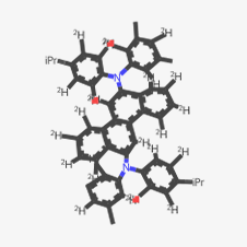 [2H]c1cc([2H])c(N(c2c([2H])c([2H])c(C(C)C)c([2H])c2[2H])c2c([2H])c3c4c([2H])c([2H])c([2H])c([2H])c4c(N(c4c([2H])c([2H])c(C(C)C)c([2H])c4[2H])c4c([2H])c(C)c([2H])c(C)c4[2H])c([2H])c3c3c([2H])c([2H])c([2H])c([2H])c23)c([2H])c1C